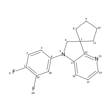 Fc1ccc(N2CC3(CCCC3)c3ncccc32)cc1F